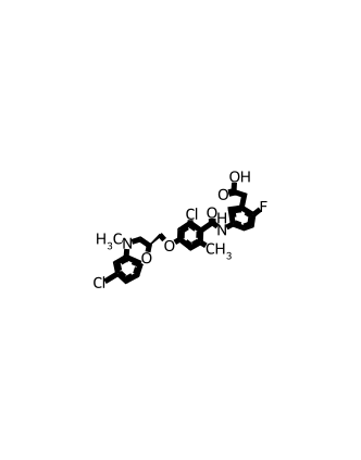 Cc1cc(OC[C@@H]2CN(C)c3cc(Cl)ccc3O2)cc(Cl)c1C(=O)Nc1ccc(F)c(CC(=O)O)c1